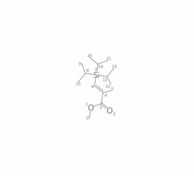 COC(=O)C(C)=C[Si](C(C)C)(C(C)C)C(C)C